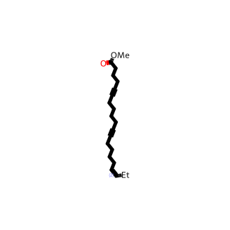 CC/C=C\CCCCC#CCCCCC#CCCCC(=O)OC